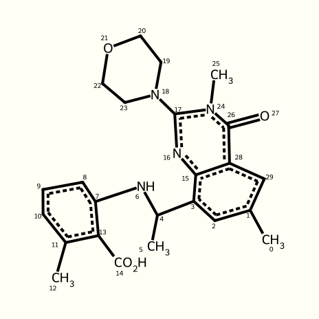 Cc1cc(C(C)Nc2cccc(C)c2C(=O)O)c2nc(N3CCOCC3)n(C)c(=O)c2c1